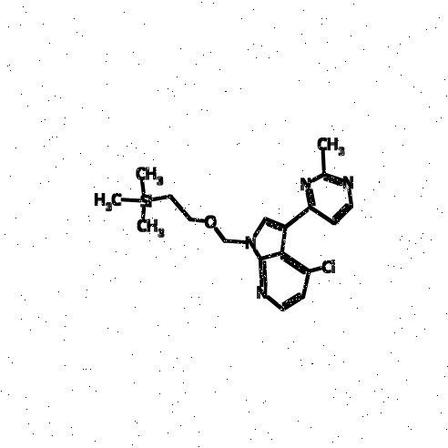 Cc1nccc(-c2cn(COCC[Si](C)(C)C)c3nccc(Cl)c23)n1